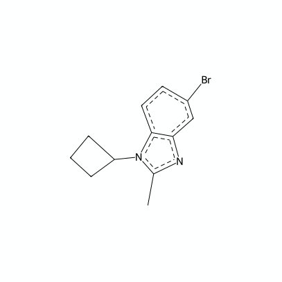 Cc1nc2cc(Br)ccc2n1C1CCC1